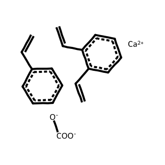 C=Cc1ccccc1.C=Cc1ccccc1C=C.O=C([O-])[O-].[Ca+2]